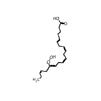 CC/C=C\C/C(=C/C/C=C\C/C=C\C/C=C/CCCC(=O)O)OO